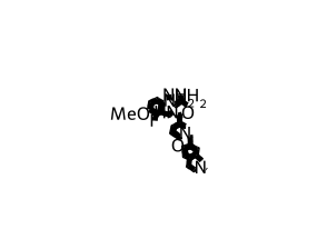 COc1ccc(N(N)/C=C(/C)N)c(CNC(=O)c2ccc(=O)n(Cc3ccc4c(c3)CN(C)CC4)c2)c1F